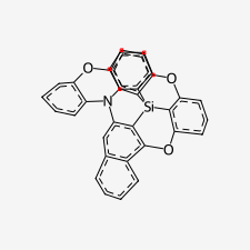 c1ccc([Si]23c4c5cccc4Oc4c2c(cc2ccccc42)N2c4ccccc4Oc4ccc(c3c42)O5)cc1